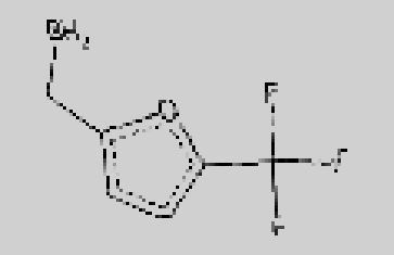 BCc1ccc(C(F)(F)F)o1